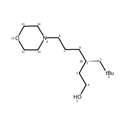 CC(C)(C)C[C@H](CCO)CCCN1CCOCC1